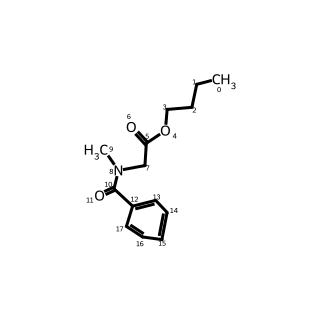 CCCCOC(=O)CN(C)C(=O)c1ccccc1